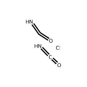 N=C=O.N=C=O.[C]